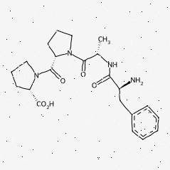 C[C@H](NC(=O)[C@@H](N)Cc1ccccc1)C(=O)N1CCC[C@H]1C(=O)N1CCC[C@H]1C(=O)O